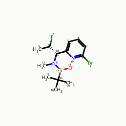 CC(F)[C@H](c1cccc(Br)n1)N(C)[S+]([O-])C(C)(C)C